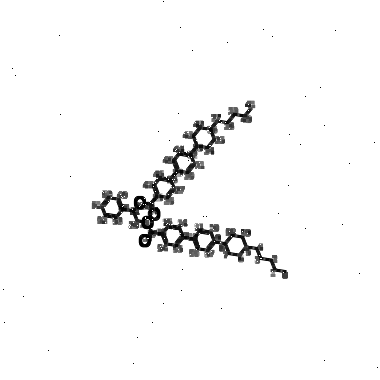 CCCCCC1CCC(c2ccc(-c3ccc(C(=O)OCC(OC(=O)c4ccc(-c5ccc(C6CCC(CCCCC)CC6)cc5)cc4)c4ccccc4)cc3)cc2)CC1